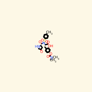 Cc1ccc(S(=O)(=O)N(C(=O)[C@@H]2CC(=O)CN2)[C@@H](Cc2ccc(OC(=O)N(C)C)cc2)C(=O)O)cc1